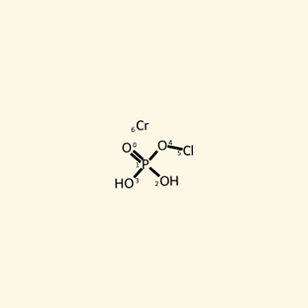 O=P(O)(O)OCl.[Cr]